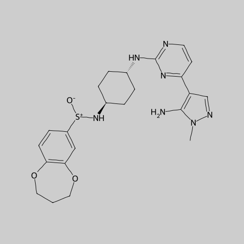 Cn1ncc(-c2ccnc(N[C@H]3CC[C@H](N[S+]([O-])c4ccc5c(c4)OCCCO5)CC3)n2)c1N